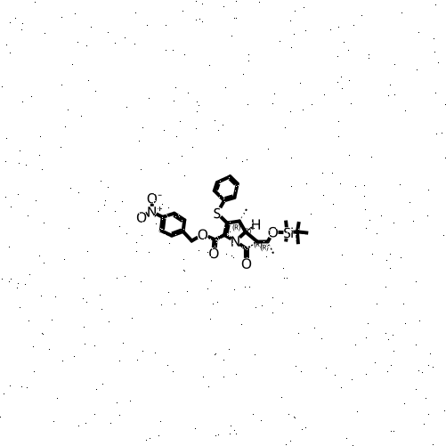 C[C@@H](O[Si](C)(C)C(C)(C)C)[C@@H]1C(=O)N2C(C(=O)OCc3ccc([N+](=O)[O-])cc3)=C(Sc3ccccc3)[C@H](C)[C@@H]12